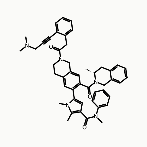 Cc1c(C(=O)N(C)c2ccccc2)cc(-c2cc3c(cc2C(=O)N2Cc4ccccc4C[C@H]2C)CN(C(=O)Cc2ccccc2C#CCN(C)C)CC3)n1C